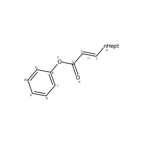 CCCCCCC/C=C/C(=O)Oc1ccccc1